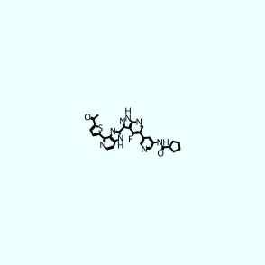 CC(=O)c1ccc(-c2nccc3[nH]c(-c4n[nH]c5ncc(-c6cncc(NC(=O)C7CCCC7)c6)c(F)c45)nc23)s1